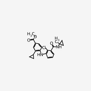 COC(=O)c1ccc(Nc2cccc(C(=O)NC3(C)CC3)c2Cl)c(C2CC2)c1